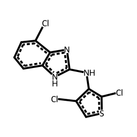 Clc1csc(Cl)c1Nc1nc2c(Cl)cccc2[nH]1